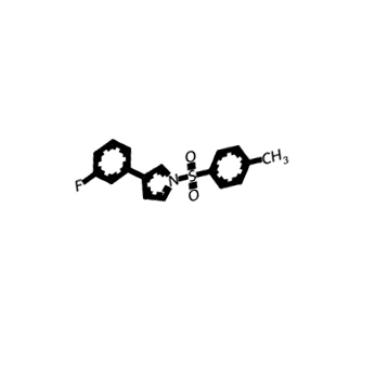 Cc1ccc(S(=O)(=O)n2ccc(-c3cccc(F)c3)c2)cc1